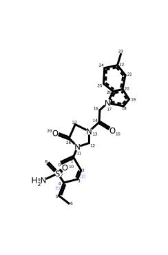 C=C(/C=C\C(=C/C)S(=C)(N)=O)N1CN(C(=O)Cn2ccc3cc(C)ccc32)CC1=O